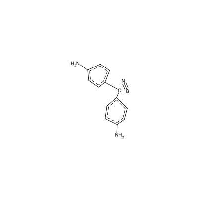 B#N.Nc1ccc(Oc2ccc(N)cc2)cc1